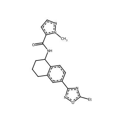 CCc1nc(-c2ccc3c(c2)CCCC3NC(=O)c2ccnn2C)no1